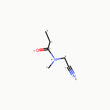 CCC(=O)N(C)CC#N